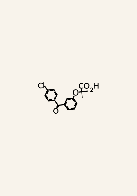 CC(C)(Oc1cccc(C(=O)c2ccc(Cl)cc2)c1)C(=O)O